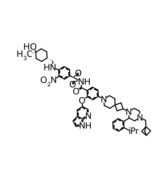 CC(C)c1ccccc1C1CN(CC23CC(C2)C3)CCN1C1CC2(CCN(c3ccc(C(=O)NS(=O)(=O)c4ccc(NC[C@H]5CC[C@](C)(O)CC5)c([N+](=O)[O-])c4)c(Oc4cnc5[nH]ccc5c4)c3)CC2)C1